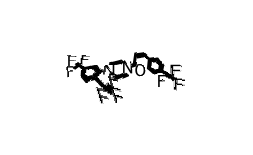 O=C(/C=C\c1ccc(C(F)(F)F)cc1)N1CCN(c2cc(C(F)(F)F)ccc2C(F)(F)F)CC1